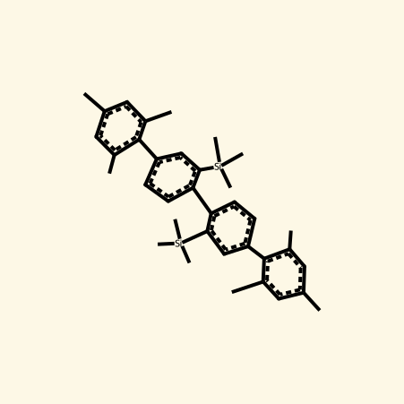 Cc1cc(C)c(-c2ccc(-c3ccc(-c4c(C)cc(C)cc4C)cc3[Si](C)(C)C)c([Si](C)(C)C)c2)c(C)c1